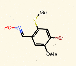 COc1cc(C=NO)c(SC(C)(C)C)cc1Br